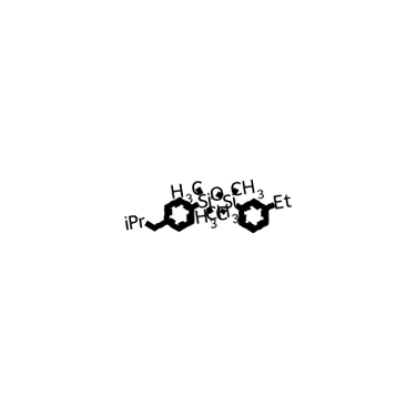 CCc1cccc([Si](C)(C)O[Si](C)(C)c2ccc(CC(C)C)cc2)c1